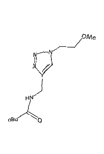 CCCCC(=O)NCc1cn(CCOC)nn1